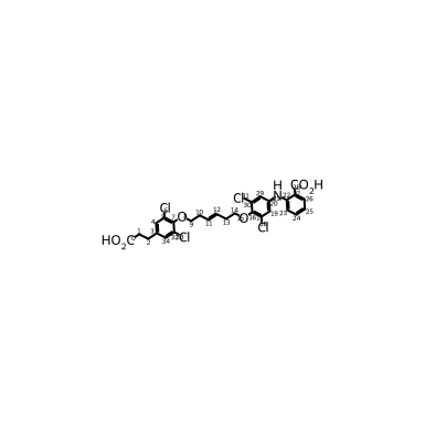 O=C(O)CCc1cc(Cl)c(OCC/C=C/CCOc2c(Cl)cc(Nc3ccccc3C(=O)O)cc2Cl)c(Cl)c1